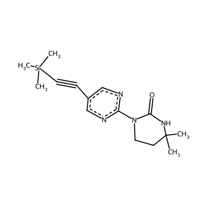 CC1(C)CCN(c2ncc(C#C[Si](C)(C)C)cn2)C(=O)N1